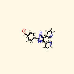 O=Cc1ccc(-c2nc3c4cccnc4c4ncccc4c3[nH]2)cc1